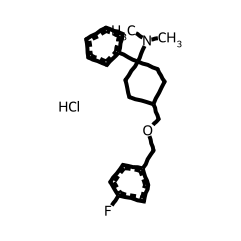 CN(C)C1(c2ccccc2)CCC(COCc2ccc(F)cc2)CC1.Cl